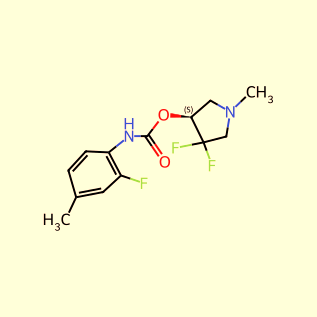 Cc1ccc(NC(=O)O[C@H]2CN(C)CC2(F)F)c(F)c1